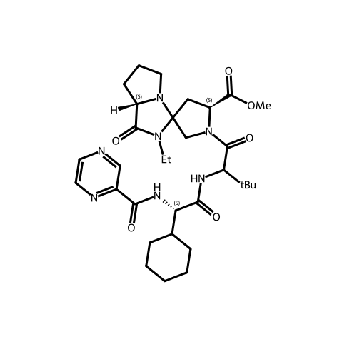 CCN1C(=O)[C@@H]2CCCN2C12C[C@@H](C(=O)OC)N(C(=O)C(NC(=O)[C@@H](NC(=O)c1cnccn1)C1CCCCC1)C(C)(C)C)C2